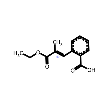 CCOC(=O)/C(C)=C/c1ccccc1C(=O)O